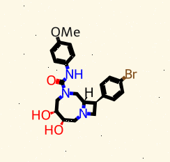 COc1ccc(NC(=O)N2C[C@H](O)[C@H](O)CN3C[C@H](c4ccc(Br)cc4)[C@@H]3C2)cc1